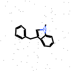 Cn1cc(Cc2ccccc2)c2cc[c]cc21